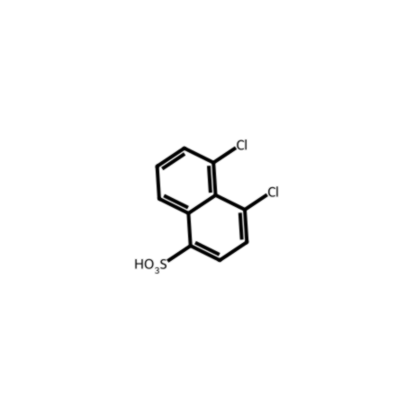 O=S(=O)(O)c1ccc(Cl)c2c(Cl)cccc12